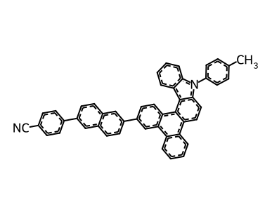 Cc1ccc(-n2c3ccccc3c3c4c(ccc32)c2ccccc2c2cc(-c3ccc5cc(-c6ccc(C#N)cc6)ccc5c3)ccc24)cc1